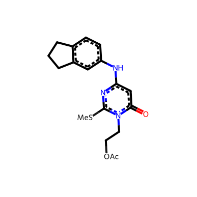 CSc1nc(Nc2ccc3c(c2)CCC3)cc(=O)n1CCOC(C)=O